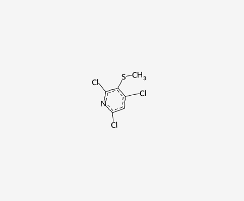 CSc1c(Cl)cc(Cl)nc1Cl